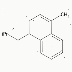 Cc1ccc(CC(C)C)c2ccccc12